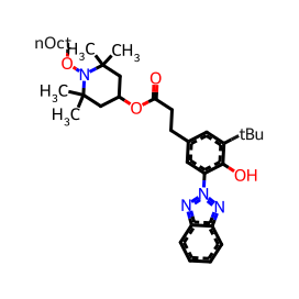 CCCCCCCCON1C(C)(C)CC(OC(=O)CCc2cc(-n3nc4ccccc4n3)c(O)c(C(C)(C)C)c2)CC1(C)C